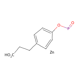 O=POc1ccc(CCC(=O)O)cc1.[Zn]